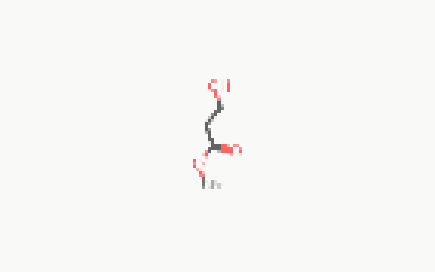 CCCOC(=O)[CH]CO